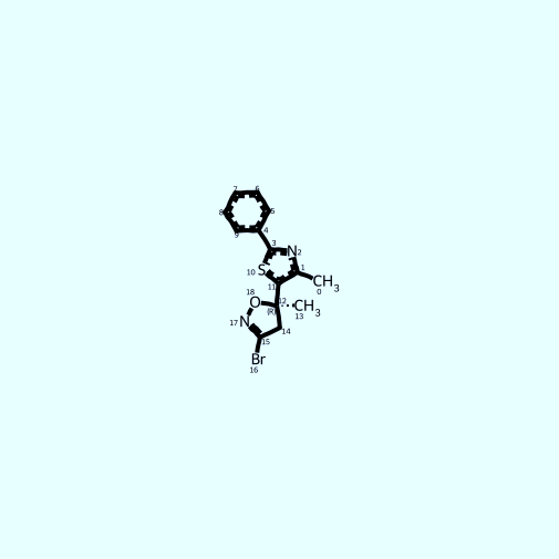 Cc1nc(-c2ccccc2)sc1[C@@]1(C)CC(Br)=NO1